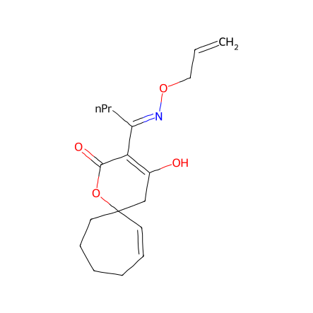 C=CCO/N=C(\CCC)C1=C(O)CC2(C=CCCCC2)OC1=O